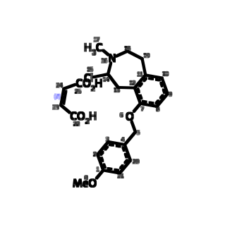 COc1ccc(COc2cccc3c2CC(Cl)N(C)CC3)cc1.O=C(O)/C=C\C(=O)O